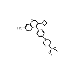 COC(OC)C1CCN(c2ccc(C3=C(C4CCC4)COc4cc(O)ccc43)cc2)CC1